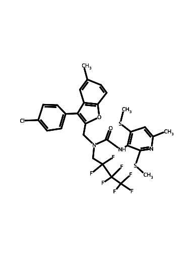 CSc1cc(C)nc(SC)c1NC(=O)N(Cc1oc2ccc(C)cc2c1-c1ccc(Cl)cc1)CC(F)(F)C(F)(F)C(F)(F)F